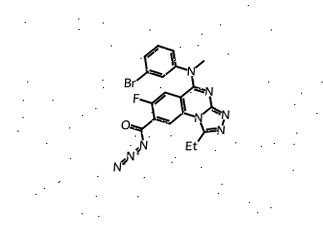 CCc1nnc2nc(N(C)c3cccc(Br)c3)c3cc(F)c(C(=O)N=[N+]=[N-])cc3n12